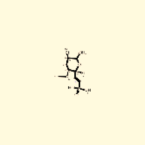 BC1O[C@@](/C=C/P(=O)(O)O)(CC)[C@@H](OI)C[C@H]1CC